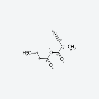 C=CCC(=O)OC(=O)C(=C)C#N